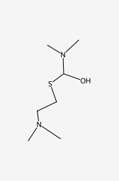 CN(C)CCSC(O)N(C)C